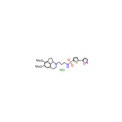 COc1cc2c3c(c1OC)CCC3N(CCCNS(=O)(=O)c1ccc(-c3ccno3)s1)CC2.Cl